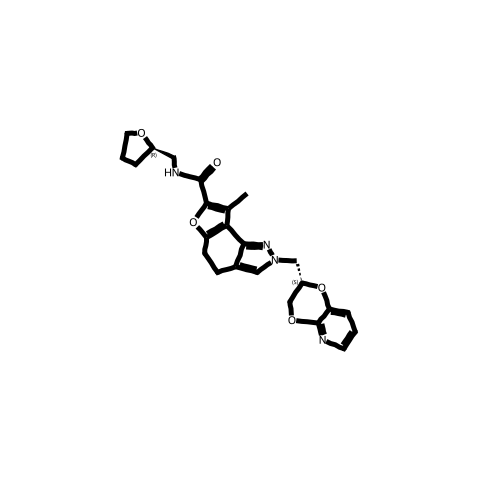 Cc1c(C(=O)NC[C@H]2CCCO2)oc2c1-c1nn(C[C@H]3COc4ncccc4O3)cc1CC2